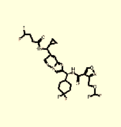 O=C(CCC(F)F)NC(c1cnn2cc([C@@H](NC(=O)c3conc3COC(F)F)C3CCC(F)(F)CC3)nc2c1)C1CC1